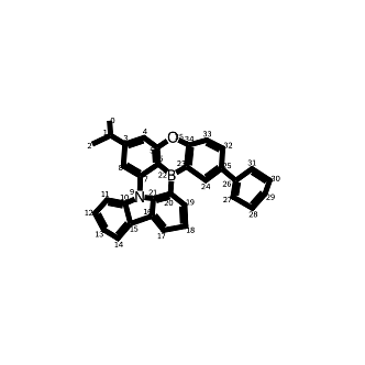 CC(C)c1cc2c3c(c1)-n1c4ccccc4c4cccc(c41)B3c1cc(-c3ccccc3)ccc1O2